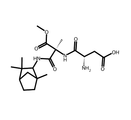 COC(=O)[C@@](C)(NC(=O)[C@@H](N)CC(=O)O)C(=O)NC1C2(C)CCC(C2)C1(C)C